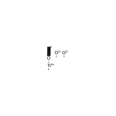 C=O.[O-2].[O-2].[Ti+4]